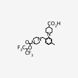 Cc1ccc(CN2CCN(C(=O)OC(C(F)(F)F)C(F)(F)F)CC2)c(N2CCC(C(=O)O)CC2)c1